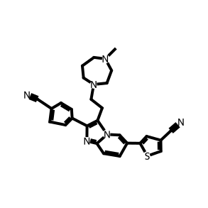 CN1CCCN(CCc2c(-c3ccc(C#N)cc3)nc3ccc(-c4cc(C#N)cs4)cn23)CC1